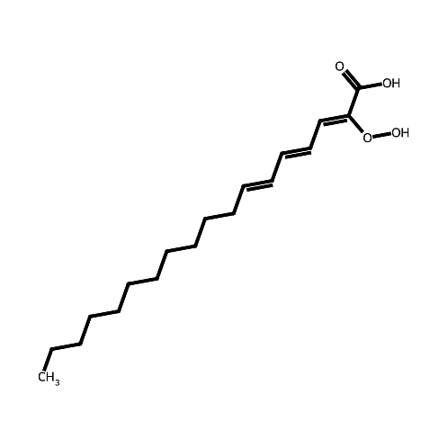 CCCCCCCCCCCC=CC=CC=C(OO)C(=O)O